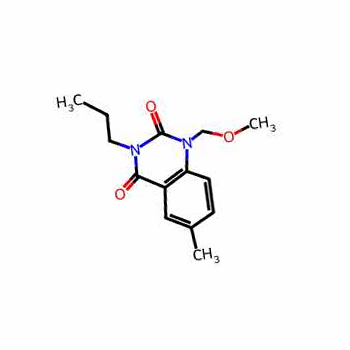 CCCn1c(=O)c2cc(C)ccc2n(COC)c1=O